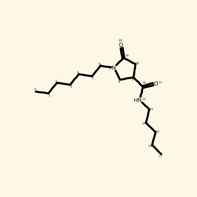 CCCCCCCN1CC(C(=O)NCCCCC)CC1=O